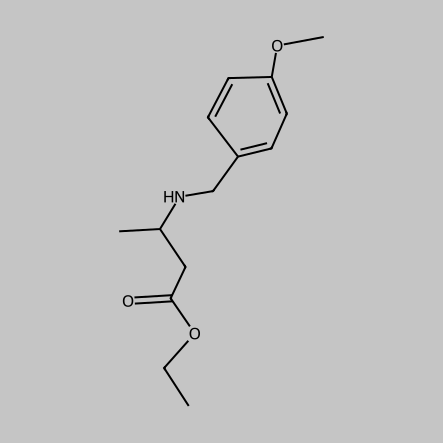 CCOC(=O)CC(C)NCc1ccc(OC)cc1